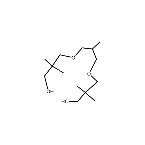 CC(COCC(C)(C)CO)COCC(C)(C)CO